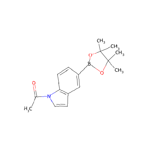 CC(=O)n1ccc2cc(B3OC(C)(C)C(C)(C)O3)ccc21